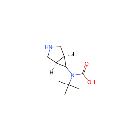 CC(C)(C)N(C(=O)O)C1[C@H]2CNC[C@@H]12